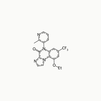 CCOc1cc(C(F)(F)F)cc2c1n1ccnc1c(=O)n2-c1cccnc1C